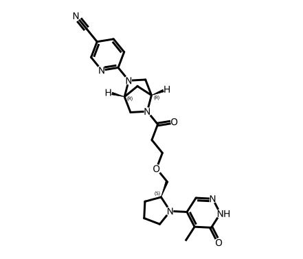 Cc1c(N2CCC[C@H]2COCCC(=O)N2C[C@H]3C[C@@H]2CN3c2ccc(C#N)cn2)cn[nH]c1=O